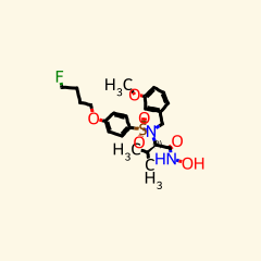 COc1cccc(CN([C@@H](C(=O)NO)C(C)C)S(=O)(=O)c2ccc(OCCCCF)cc2)c1